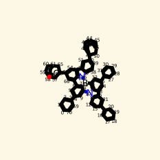 c1ccc(-c2cc3c4c(c2)-n2c5ccc(-c6ccccc6)cc5c5cc(-c6ccccc6)cc(c52)B4n2c4ccc(C56CCC7CC(CC7C5)C6)cc4c4cc(C56CCC7CC(CC7C5)C6)cc-3c42)cc1